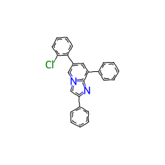 Clc1ccccc1-c1cc(-c2ccccc2)c2nc(-c3ccccc3)cn2c1